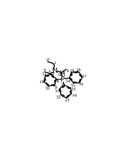 CCN(CC)C(C)[PH](c1ccccc1)(c1ccccc1)c1ccccc1